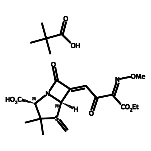 C=S1[C@@H]2C(=CC(=O)C(=NOC)C(=O)OCC)C(=O)N2[C@@H](C(=O)O)C1(C)C.CC(C)(C)C(=O)O